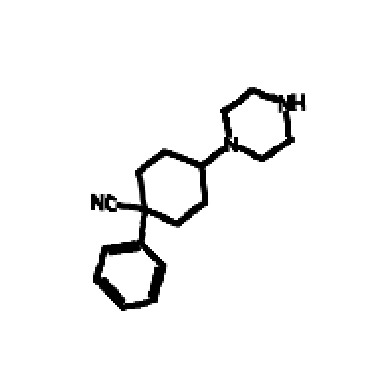 N#CC1(c2ccccc2)CCC(N2CCNCC2)CC1